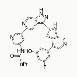 CCCC(=O)Nc1cncc(-c2cc3c(-c4cc5c(-c6cc(O)cc(F)c6)cncc5[nH]4)n[nH]c3cn2)c1